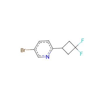 FC1(F)CC(c2ccc(Br)cn2)C1